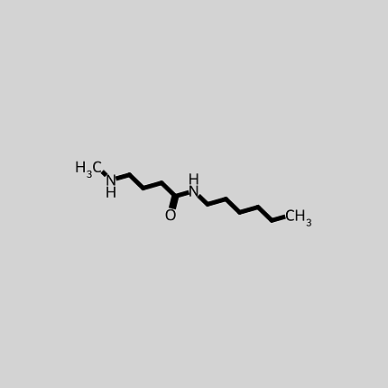 CCCCCCNC(=O)CCCNC